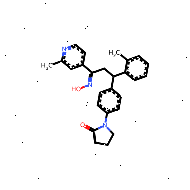 Cc1cc(C(CC(c2ccc(N3CCCC3=O)cc2)c2ccccc2C)=NO)ccn1